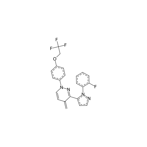 C=C1C=CN(c2ccc(OCC(F)(F)F)cc2)N=C1c1ccnn1-c1ccccc1F